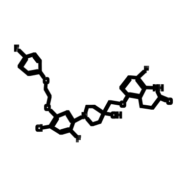 O=C1CCc2c(OCC3(O)CCN(c4cc(OCCOc5ccc(F)cc5)c(Cl)cc4F)CC3)ccc(F)c2N1